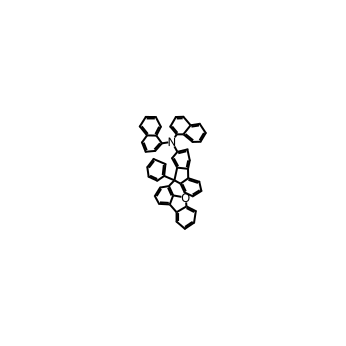 c1ccc(C2(c3cccc4c3oc3ccccc34)c3ccccc3-c3ccc(N(c4cccc5ccccc45)c4cccc5ccccc45)cc32)cc1